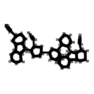 N#Cc1ccc2c(c1)c1ccccc1n2-c1ccc(-c2cccc(-c3ccccc3-n3c4ccccc4c4cccc(C#N)c43)c2)cc1C#N